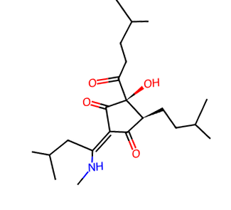 CNC(CC(C)C)=C1C(=O)[C@H](CCC(C)C)[C@@](O)(C(=O)CCC(C)C)C1=O